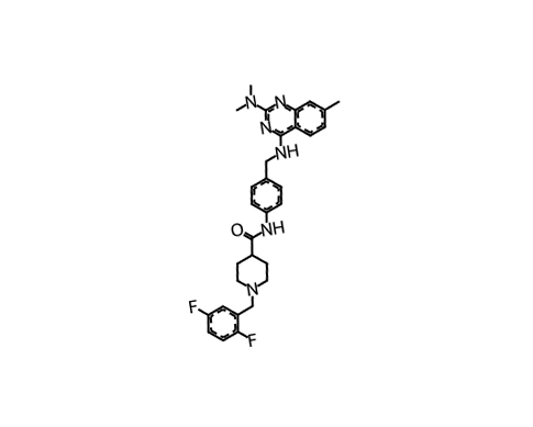 Cc1ccc2c(NCc3ccc(NC(=O)C4CCN(Cc5cc(F)ccc5F)CC4)cc3)nc(N(C)C)nc2c1